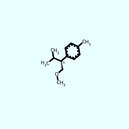 COC[C@H](c1ccc(C)cc1)C(C)C